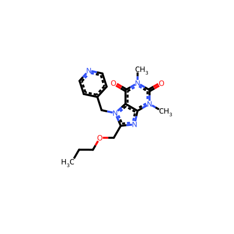 CCCOCc1nc2c(c(=O)n(C)c(=O)n2C)n1Cc1ccncc1